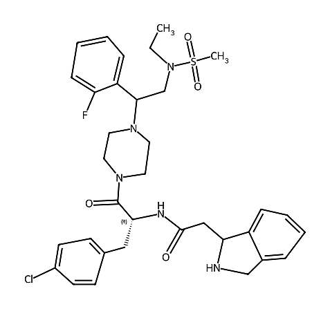 CCN(CC(c1ccccc1F)N1CCN(C(=O)[C@@H](Cc2ccc(Cl)cc2)NC(=O)CC2NCc3ccccc32)CC1)S(C)(=O)=O